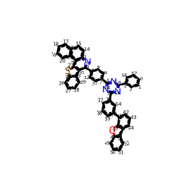 c1ccc(-c2nc(-c3ccc(-c4nc5ccc6ccccc6c5c5sc6ccccc6c45)cc3)nc(-c3cccc(-c4cccc5c4oc4ccccc45)c3)n2)cc1